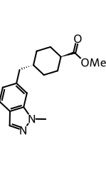 COC(=O)[C@H]1CC[C@H](Cc2ccc3cnn(C)c3c2)CC1